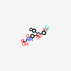 O=C(O)CCNC(=O)c1ccc(C(=O)/C(=C\C(=O)c2cccc(OC(F)(F)F)c2)c2ccc3c(c2)CCC3)cc1